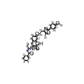 CC/C(=C/C(=O)c1ccccc1)N[C@@H](Cc1ccc(OCCc2nc(-c3ccc(OC)cc3)oc2C)cc1)C(=O)O